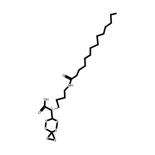 CCCCCCCCCCCCCC(=O)NCCCC[C@@H](C(=O)O)C1SSC2(SS1)SS2